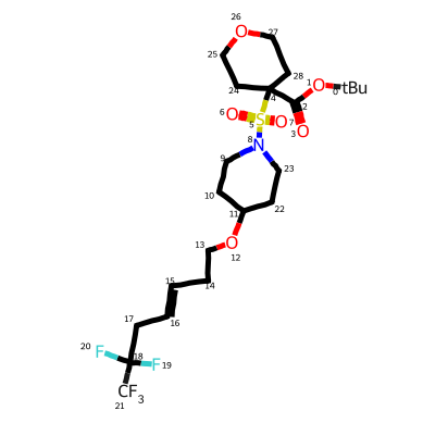 CC(C)(C)OC(=O)C1(S(=O)(=O)N2CCC(OCCC=CCC(F)(F)C(F)(F)F)CC2)CCOCC1